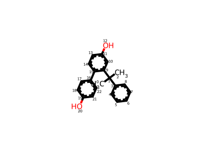 CC(C)(c1ccccc1)c1cc(O)ccc1-c1ccc(O)cc1